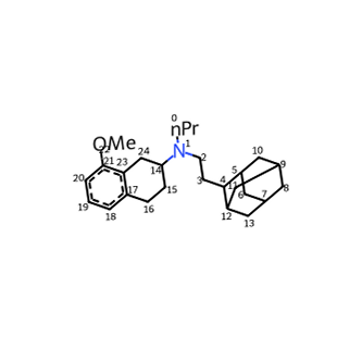 CCCN(CCC1C2CC3CC(C2)CC1C3)C1CCc2cccc(OC)c2C1